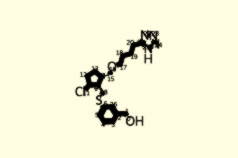 OCc1cccc(SC[C@H]2C(Cl)CC[C@@H]2COCCCCc2nnn[nH]2)c1